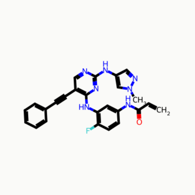 C=CC(=O)Nc1ccc(F)c(Nc2nc(Nc3cnn(C)c3)ncc2C#Cc2ccccc2)c1